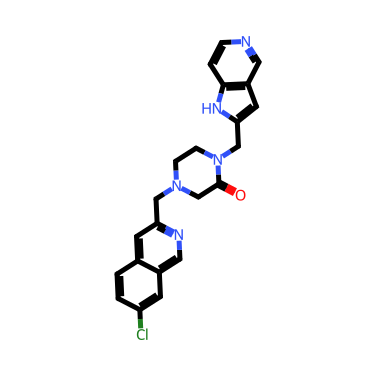 O=C1CN(Cc2cc3ccc(Cl)cc3cn2)CCN1Cc1cc2cnccc2[nH]1